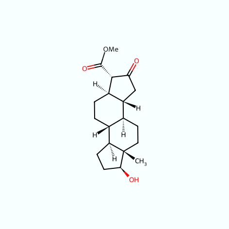 COC(=O)[C@@H]1C(=O)C[C@@H]2[C@H]3CC[C@]4(C)[C@@H](O)CC[C@H]4[C@@H]3CC[C@@H]12